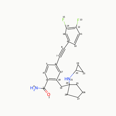 NC(=O)c1ccc(C#Cc2ccc(F)c(F)c2)cc1CC1(NC2CC2)CCCC1